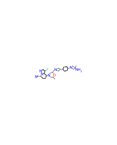 CC1CN(c2ccc(C#N)n3ncc(F)c23)CC(CN2CC(c3ccc(N4CC(C)(N)C4)cc3)C2)O1